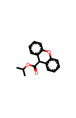 CC(C)OC(=O)C1c2ccccc2Oc2ccccc21